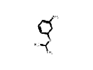 CC(C)OC1C=CC=C(N)C1